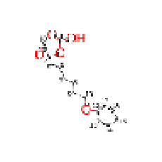 O=C(O)OC1(CCCCCCOc2ccccc2)CO1